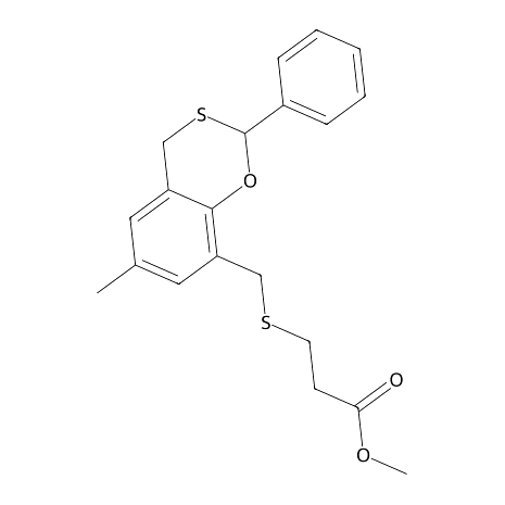 COC(=O)CCSCc1cc(C)cc2c1OC(c1ccccc1)SC2